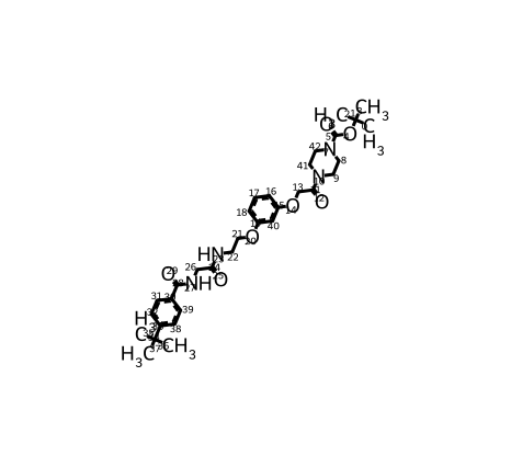 CC(C)(C)OC(=O)N1CCN(C(=O)COc2cccc(OCCNC(=O)CNC(=O)c3ccc(C(C)(C)C)cc3)c2)CC1